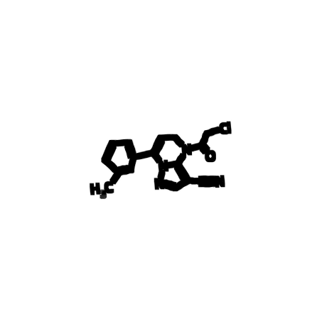 Cc1cccc(C2=CCN(C(=O)CCl)c3c(C#N)cnn32)c1